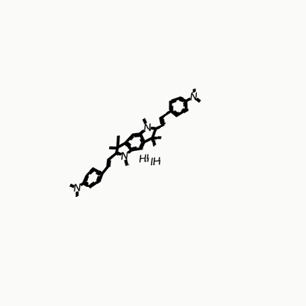 CN(C)c1ccc(C=CC2N(C)c3cc4c(cc3C2(C)C)N(C)C(C=Cc2ccc(N(C)C)cc2)C4(C)C)cc1.I.I